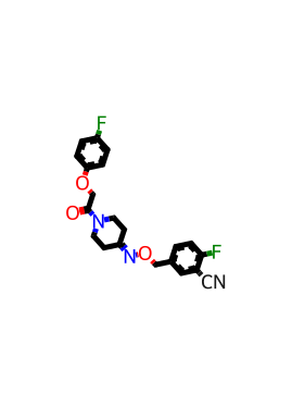 N#Cc1cc(CON=C2CCN(C(=O)COc3ccc(F)cc3)CC2)ccc1F